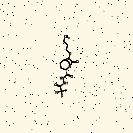 CCCCON1C(=O)N2CC1CC[C@H]2C(=O)NNC(=O)C(F)(F)F